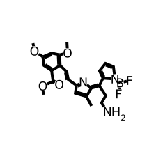 COC(=O)c1cc(OC)cc(OC)c1/C=C/C1=NC(=C(/CCN)c2cccn2B(F)F)/C(C)=C1